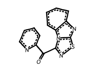 O=C(c1ccccn1)c1nsc2nc3ccccc3n12